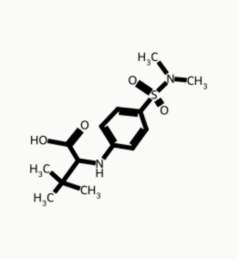 CN(C)S(=O)(=O)c1ccc(NC(C(=O)O)C(C)(C)C)cc1